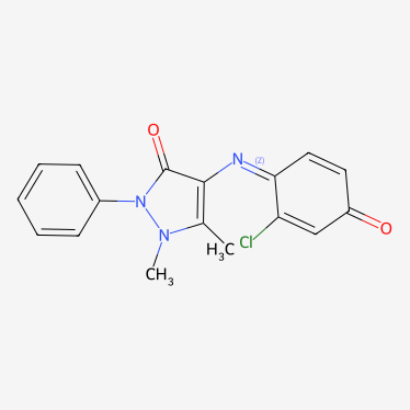 Cc1c(/N=C2/C=CC(=O)C=C2Cl)c(=O)n(-c2ccccc2)n1C